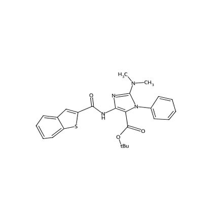 CN(C)c1nc(NC(=O)c2cc3ccccc3s2)c(C(=O)OC(C)(C)C)n1-c1ccccc1